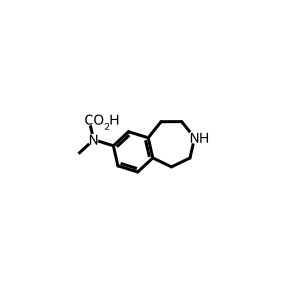 CN(C(=O)O)c1ccc2c(c1)CCNCC2